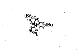 CC(C)(C)c1ccc2c(c1)Sc1cc(C(C)(C)C)ccc1N2C1C=CN=C(I)C1